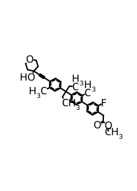 CCC(CC)(c1ccc(C#CC2(O)CCOCC2)c(C)c1)c1ccc(-c2ccc(CC(=O)OC)c(F)c2)c(C)c1